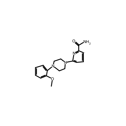 COc1ccccc1N1CCN(c2cc[c]c(C(N)=O)n2)CC1